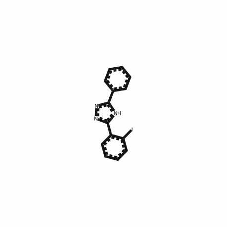 Ic1ccccc1-c1nnc(-c2ccccc2)[nH]1